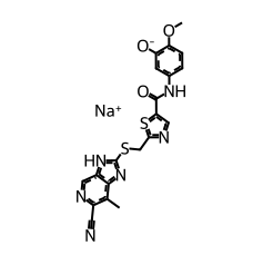 COc1ccc(NC(=O)c2cnc(CSc3nc4c(C)c(C#N)ncc4[nH]3)s2)cc1[O-].[Na+]